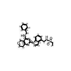 CCS(=O)(=O)NCc1cccc2c1cnn2-c1nc2c(c(NCc3ccccc3)n1)COCC2